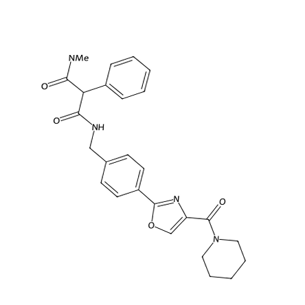 CNC(=O)C(C(=O)NCc1ccc(-c2nc(C(=O)N3CCCCC3)co2)cc1)c1ccccc1